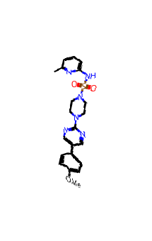 COc1ccc(-c2cnc(N3CCN(S(=O)(=O)Nc4cccc(C)n4)CC3)nc2)cc1